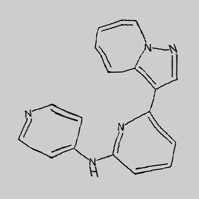 c1cc(Nc2ccncc2)nc(-c2cnn3ccccc23)c1